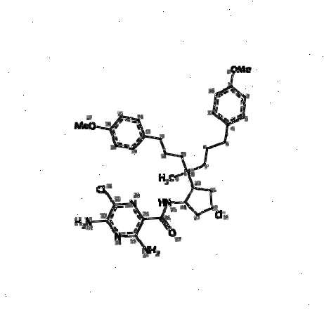 COc1ccc(CCC[N+](C)(CCCc2ccc(OC)cc2)C2CCCC2NC(=O)c2nc(Cl)c(N)nc2N)cc1.[Cl-]